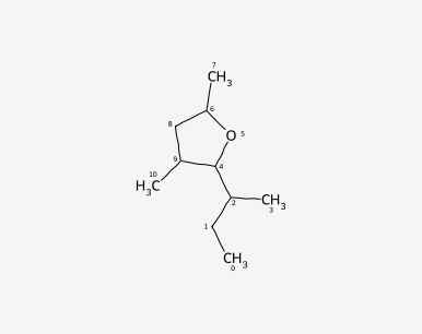 CCC(C)C1OC(C)CC1C